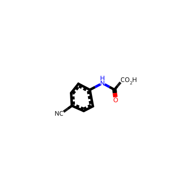 N#Cc1ccc(NC(=O)C(=O)O)cc1